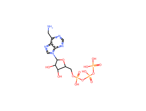 NCc1ncnc2c1ncn2C1OC(COP(=O)(O)OP(=O)(O)OP(=O)(O)O)C(O)C1O